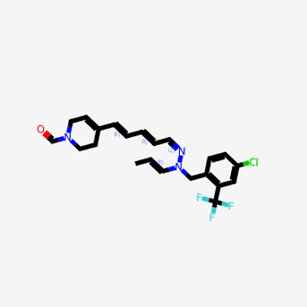 C/C=C/N(Cc1ccc(Cl)cc1C(F)(F)F)\N=C/C=C/C=C/C1=CCN(C=O)CC1